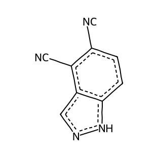 [C-]#[N+]c1ccc2[nH]ncc2c1C#N